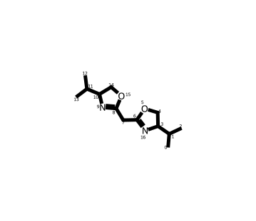 CC(C)C1COC(CC2=NC(C(C)C)CO2)=N1